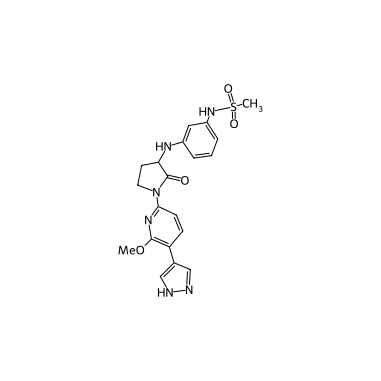 COc1nc(N2CCC(Nc3cccc(NS(C)(=O)=O)c3)C2=O)ccc1-c1cn[nH]c1